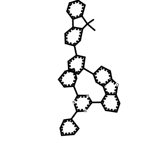 CC1(C)c2ccccc2-c2ccc(-c3cccc(-c4ccc5oc6cccc(-c7nc(-c8ccccc8)nc(-c8ccccc8)n7)c6c5c4)c3)cc21